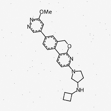 COc1cc(-c2ccc3c(c2)COc2nc(N4CCC(NC5CCC5)C4)ccc2-3)cnn1